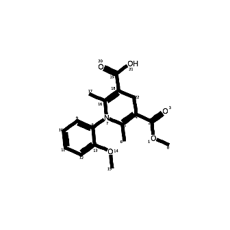 COC(=O)C1=C(C)N(c2ccccc2OC)C(C)=C(C(=O)O)C1